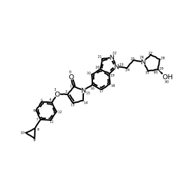 O=C1C(Oc2ccc(C3CC3)cc2)=CCN1c1ccc2c(cnn2CCN2CC[C@@H](O)C2)c1